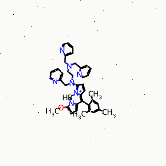 COc1ccc2n1B[N+]1=C(N(CCN(Cc3ccccn3)Cc3ccccn3)Cc3ccccn3)C=CC1=C2c1c(C)cc(C)cc1C